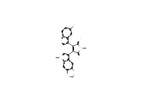 CN1C(=O)C(c2coc3ccc(F)cc23)=C(c2cn(C)c3cc4c(cc23)OCO4)C1=O